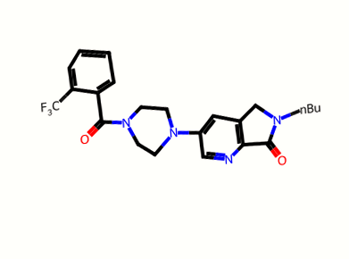 CCCCN1Cc2cc(N3CCN(C(=O)c4ccccc4C(F)(F)F)CC3)cnc2C1=O